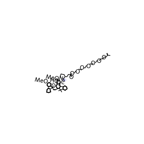 C=C(C)COCCOCCOCCOCCOCCOCCOC(=O)CCC1CCCN(c2cc3c4c(c5c(c3cc2OC)OC(c2ccccc2)(c2ccc(OC)cc2)C=C5)C(C)(C)c2ccccc2-4)/C1=C\C(=O)O